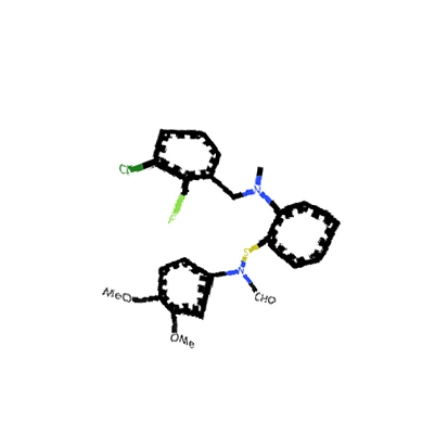 COc1ccc(N(C=O)Sc2ccccc2N(C)Cc2cccc(Cl)c2F)cc1OC